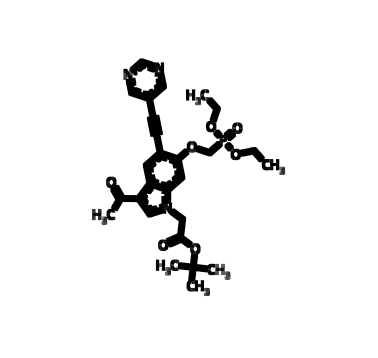 CCOP(=O)(COc1cc2c(cc1C#Cc1cncnc1)c(C(C)=O)cn2CC(=O)OC(C)(C)C)OCC